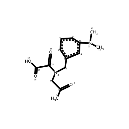 CC(=O)CN(Cc1cccc(N(C)C)c1)C(=O)C(=O)O